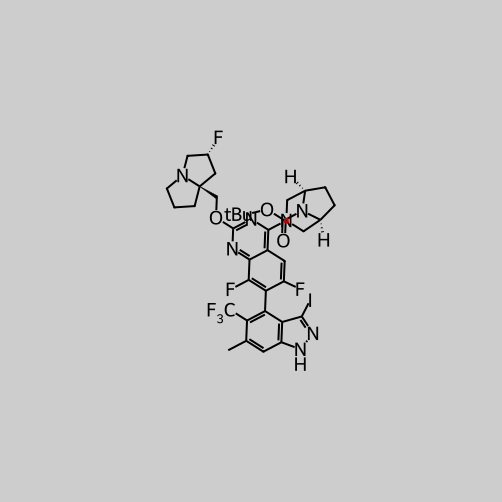 Cc1cc2[nH]nc(I)c2c(-c2c(F)cc3c(N4C[C@H]5CC[C@@H](C4)N5C(=O)OC(C)(C)C)nc(OC[C@@]45CCCN4C[C@H](F)C5)nc3c2F)c1C(F)(F)F